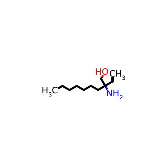 CCCCCCCC(N)(CC)CO